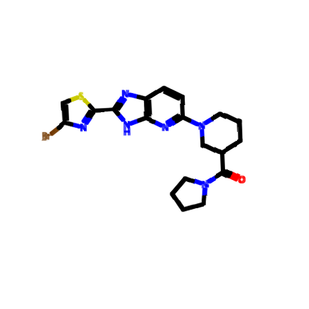 O=C(C1CCCN(c2ccc3nc(-c4nc(Br)cs4)[nH]c3n2)C1)N1CCCC1